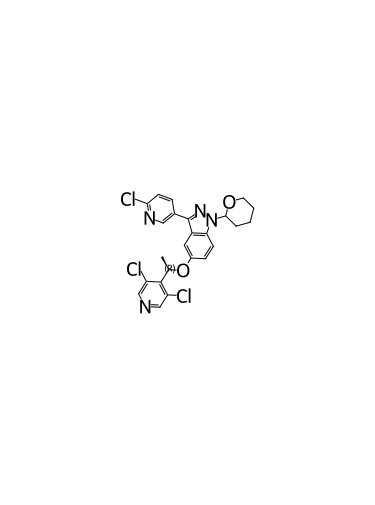 C[C@@H](Oc1ccc2c(c1)c(-c1ccc(Cl)nc1)nn2C1CCCCO1)c1c(Cl)cncc1Cl